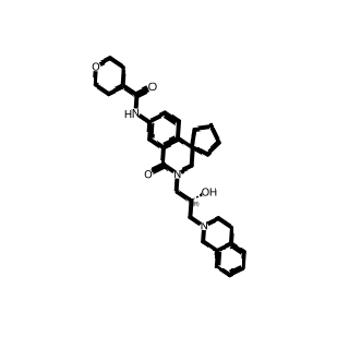 O=C(Nc1ccc2c(c1)C(=O)N(C[C@H](O)CN1CCc3ccccc3C1)CC21CCCC1)C1CCOCC1